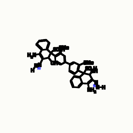 [H]/N=N/C1=C(N)c2ccccc2C(c2ccc(-c3ccc(C4(S(=O)(=O)O)c5ccccc5C(N)=C(/N=N/[H])C4O)c(SC)c3)cc2SC)(S(=O)(=O)O)C1O